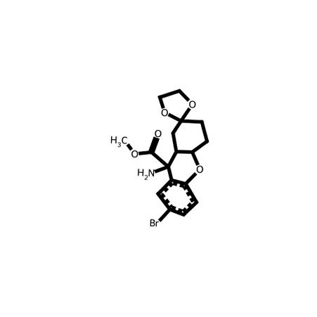 COC(=O)C1(N)c2cc(Br)ccc2OC2CCC3(CC21)OCCO3